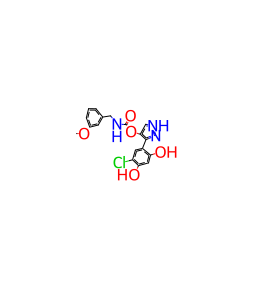 COc1cccc(CNC(=O)Oc2c[nH]nc2-c2cc(Cl)c(O)cc2O)c1